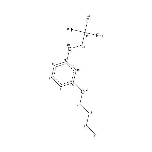 CCCCOc1cccc(OCC(F)(F)F)c1